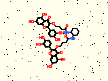 O=C(CCCOc1c(-c2ccc(O)c(O)c2)oc2cc(O)cc(O)c2c1=O)NC1CCCCC1NC(=O)CCCOc1c(-c2ccc(O)c(O)c2)oc2cc(O)cc(O)c2c1=O